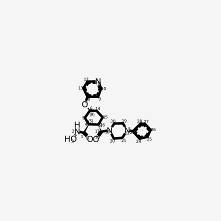 O=C(NO)[C@H]1C[C@H](Oc2ccncc2)CC[C@@H]1C(=O)N1CCN(c2ccccc2)CC1